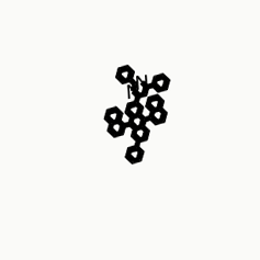 c1ccc(-c2ccc3c(-c4cccc5ccccc45)c4cc(-c5cc(-c6ccccc6)nc(-c6ccccc6)n5)ccc4c(-c4cccc5ccccc45)c3c2)cc1